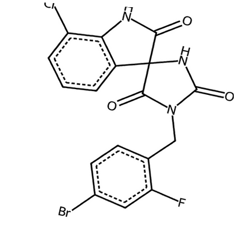 O=C1NC2(C(=O)Nc3c(Cl)cccc32)C(=O)N1Cc1ccc(Br)cc1F